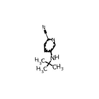 CC(C)(C)Nc1ccc(C#N)nc1